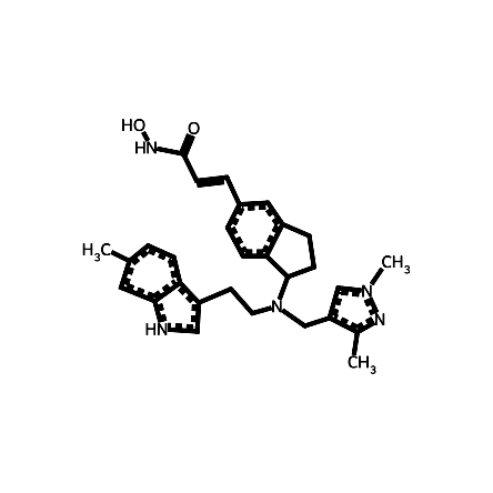 Cc1ccc2c(CCN(Cc3cn(C)nc3C)C3CCc4cc(C=CC(=O)NO)ccc43)c[nH]c2c1